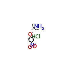 CCC(N)(CC)CCOc1ccc([N+](=O)[O-])cc1.Cl